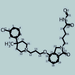 CC1(c2cccc(Cl)c2)CCN(CCCOc2cccc3c2CN(CCCCC(=O)NC=O)C3=O)CC1